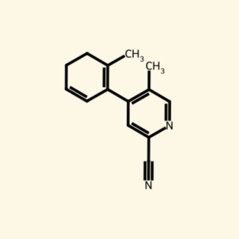 CC1=C(c2cc(C#N)ncc2C)C=CCC1